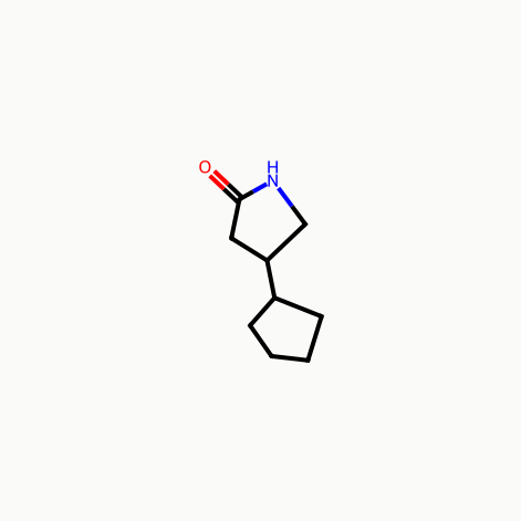 O=C1CC(C2CCCC2)CN1